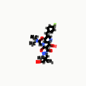 CN(C)C(=O)Cn1c(=O)c(C(=O)NCC(C)(C)CO)c(O)c2ncc(Cc3ccc(F)cc3)cc21